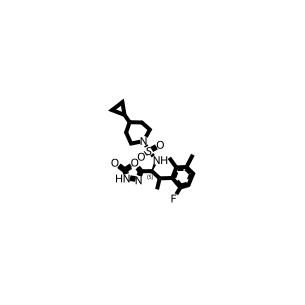 Cc1ccc(F)c(C(C)[C@H](NS(=O)(=O)N2CCC(C3CC3)CC2)c2n[nH]c(=O)o2)c1C